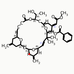 C=C1C[C@H]2CCCC(=O)O[C@@H]([C@@H](C)O)C[C@@H]3C/C(=C\C(=O)OC)[C@H](OC(=O)c4ccccc4)[C@@](O)(O3)C(C)(C)/C=C/[C@H]3CC(=C)C[C@@H](C[C@@H](C1)O2)O3